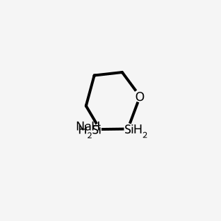 C1CO[SiH2][SiH2]C1.[NaH]